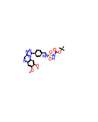 COc1cc2ncc3nnc(-c4ccc(CNS(=O)(=O)NC(=O)OC(C)(C)C)cc4)n3c2cc1OC